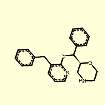 c1ccc(Cc2cccnc2SC(c2ccccc2)[C@@H]2CNCCO2)cc1